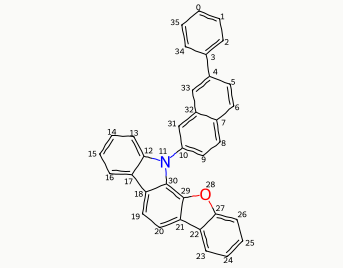 c1ccc(-c2ccc3ccc(-n4c5ccccc5c5ccc6c7ccccc7oc6c54)cc3c2)cc1